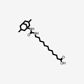 CC1CC2CC(C)CC(NC(=O)NCCCCCCCCCCCC(=O)O)(C1)C2